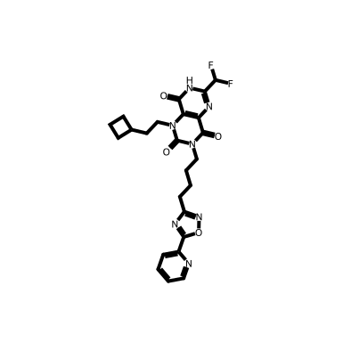 O=c1[nH]c(C(F)F)nc2c(=O)n(CCCCc3noc(-c4ccccn4)n3)c(=O)n(CCC3CCC3)c12